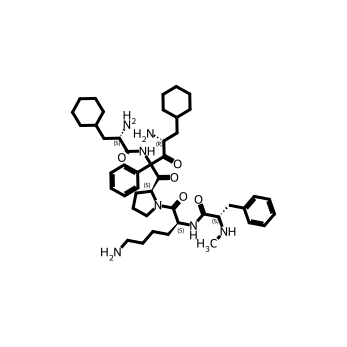 CN[C@@H](Cc1ccccc1)C(=O)N[C@@H](CCCCN)C(=O)N1CCC[C@H]1C(=O)C(NC(=O)[C@@H](N)CC1CCCCC1)(C(=O)[C@H](N)CC1CCCCC1)c1ccccc1